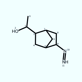 CC(O)C1CC2CC1CC2N=N